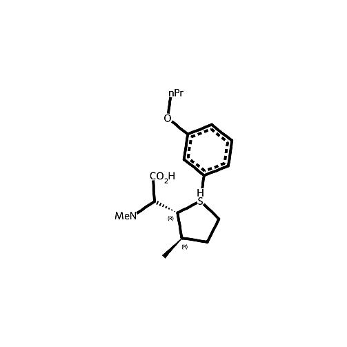 CCCOc1cccc([SH]2CC[C@@H](C)[C@@H]2C(NC)C(=O)O)c1